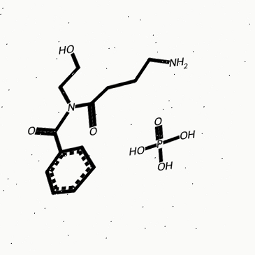 NCCCC(=O)N(CCO)C(=O)c1ccccc1.O=P(O)(O)O